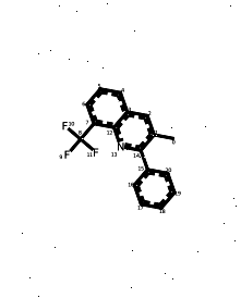 Cc1cc2cccc(C(F)(F)F)c2nc1-c1ccccc1